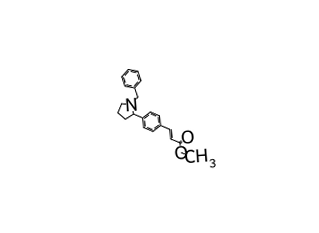 COC(=O)C=Cc1ccc(C2CCCN2Cc2ccccc2)cc1